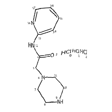 Cl.Cl.Cl.O=C(CN1CCNCC1)Nc1ccccn1